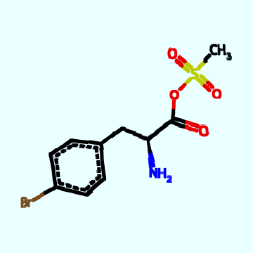 CS(=O)(=O)OC(=O)[C@@H](N)Cc1ccc(Br)cc1